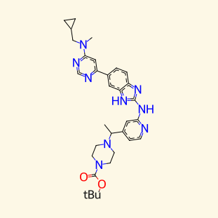 CC(c1ccnc(Nc2nc3ccc(-c4cc(N(C)CC5CC5)ncn4)cc3[nH]2)c1)N1CCN(C(=O)OC(C)(C)C)CC1